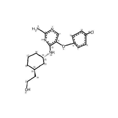 Nc1ncc(Oc2ccc(Cl)cc2)c(N[C@H]2CCC[C@H](CCO)C2)n1